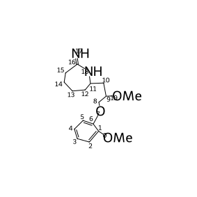 COc1ccccc1OCC(CC1CCCCC(=N)N1)OC